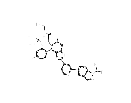 CCOC(=O)[C@@H](OC(C)(C)C)c1c(C)cc2nc(-c3ccnc(-c4ccc5c(cnn5C(F)F)c4)c3)sc2c1-c1ccc(Cl)cc1